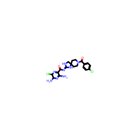 NC1=NC(N)C(Cl)N=C1C(=O)/N=C1\NCC2(CCN(C(=O)c3ccc(Cl)cc3)CC2)N1